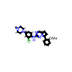 COc1ccccc1-c1ccc2cnc(Nc3ccc(N4CCN(C)CC4)cc3Cl)nn12